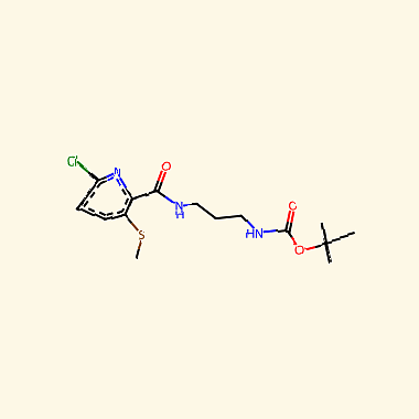 CSc1ccc(Cl)nc1C(=O)NCCCNC(=O)OC(C)(C)C